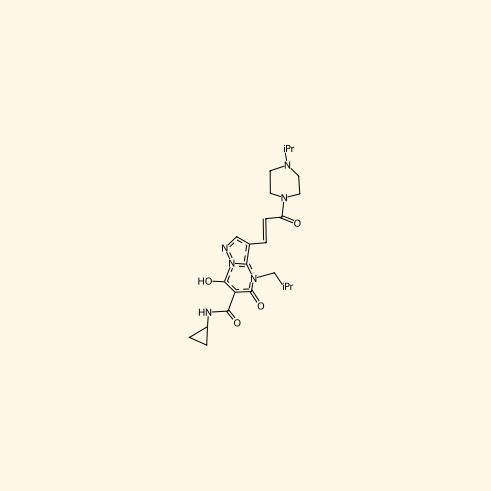 CC(C)Cn1c(=O)c(C(=O)NC2CC2)c(O)n2ncc(C=CC(=O)N3CCN(C(C)C)CC3)c12